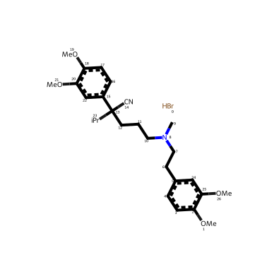 Br.COc1ccc(CCN(C)CCCC(C#N)(c2ccc(OC)c(OC)c2)C(C)C)cc1OC